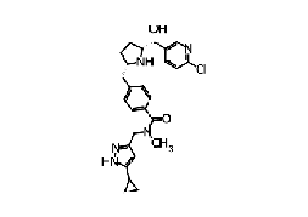 CN(Cc1cc(C2CC2)[nH]n1)C(=O)c1ccc(C[C@@H]2CC[C@H](C(O)c3ccc(Cl)nc3)N2)cc1